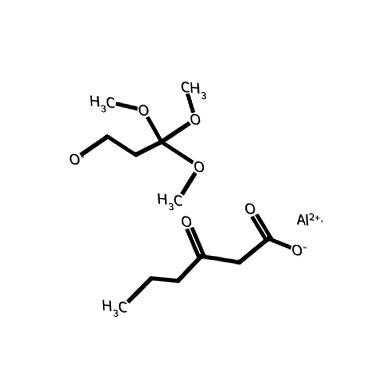 CCCC(=O)CC(=O)[O-].COC(CC[O-])(OC)OC.[Al+2]